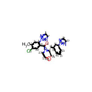 Cc1cc(-n2nccn2)c(C(=O)N2CCOC[C@H]2Cc2cccc(-n3nccn3)c2)cc1Cl